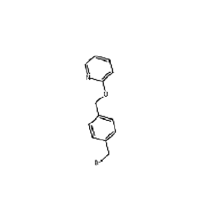 BrCc1ccc(COc2ccccn2)cc1